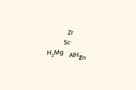 [AlH3].[MgH2].[Sc].[Zn].[Zr]